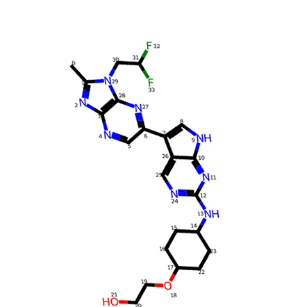 Cc1nc2ncc(-c3c[nH]c4nc(NC5CCC(OCCO)CC5)ncc34)nc2n1CC(F)F